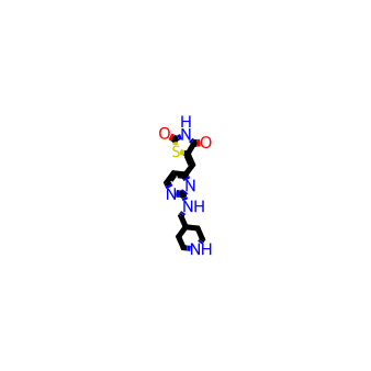 O=C1NC(=O)/C(=C/c2ccnc(NCC3CCNCC3)n2)S1